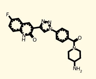 NC1CCN(C(=O)c2ccc(-n3cc(-c4cc5cc(F)ccc5[nH]c4=O)nn3)cc2)CC1